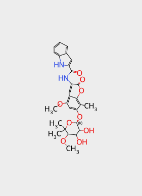 COc1cc(O[C@@H]2OC(C)(C)C(OC)C(O)C2O)c(C)c2oc(=O)c(NC(=O)c3cc4ccccc4[nH]3)cc12